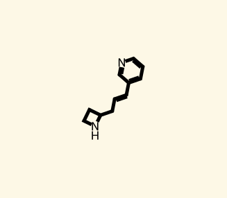 C(=Cc1cccnc1)CC1CCN1